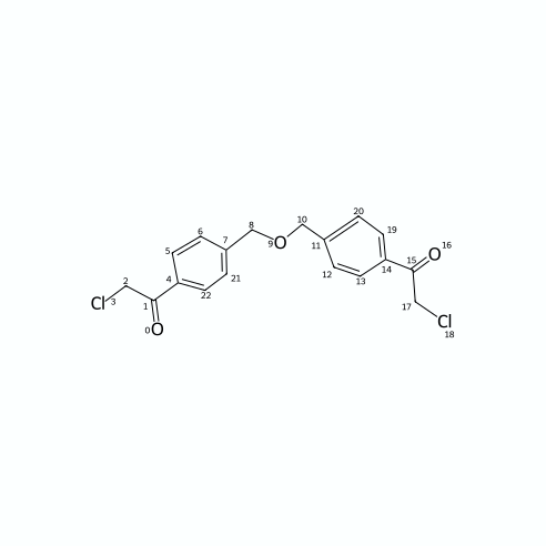 O=C(CCl)c1ccc(COCc2ccc(C(=O)CCl)cc2)cc1